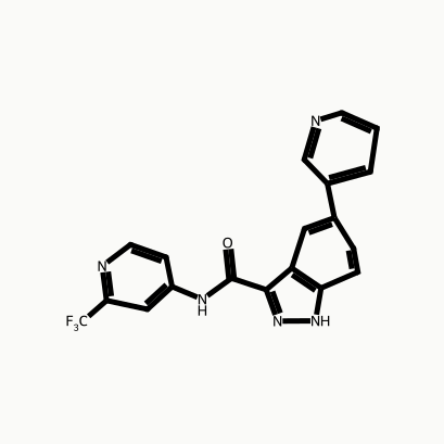 O=C(Nc1ccnc(C(F)(F)F)c1)c1n[nH]c2ccc(-c3cccnc3)cc12